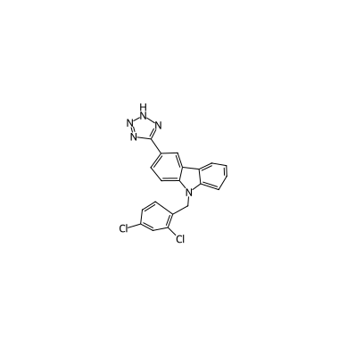 Clc1ccc(Cn2c3ccccc3c3cc(-c4nn[nH]n4)ccc32)c(Cl)c1